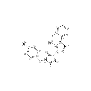 Cc1ccccc1-n1ncc(-c2nnn(Cc3ccc(Br)cc3)n2)c1Br